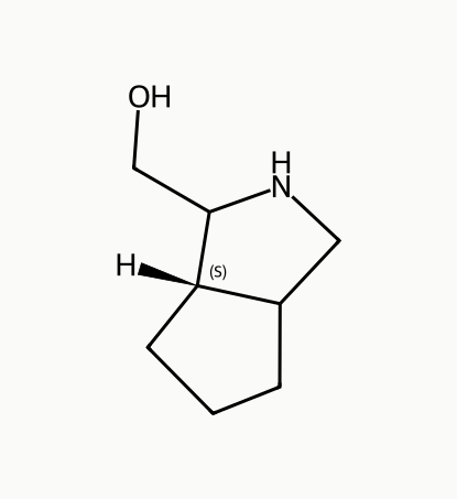 OCC1NCC2CCC[C@@H]21